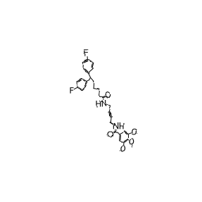 COc1cc(C(=O)NCC#CCNC(=O)CCCCC(c2ccc(F)cc2)c2ccc(F)cc2)cc(OC)c1OC